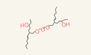 CCCCC=CC(CCOCOCOCCC(C=CCCCC)CCC(O)CC)CCC(O)CC